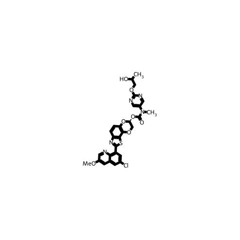 COc1cnc2c(-c3nc4ccc5c(c4s3)OC[C@@H](OC(=O)N(C)c3cnc(OCC(C)O)nc3)O5)cc(Cl)cc2c1